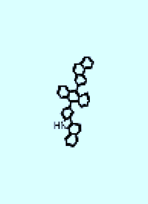 c1ccc2c(c1)ccc1cc(-c3c4ccccc4c(-c4ccc5[nH]c6c7ccccc7ccc6c5c4)c4ccccc34)ccc12